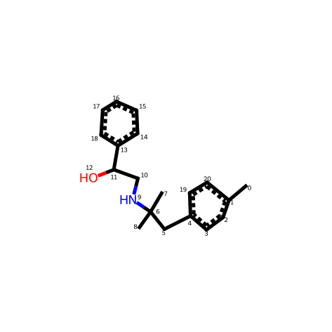 Cc1ccc(CC(C)(C)NCC(O)c2ccccc2)cc1